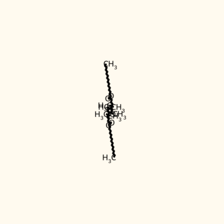 CCCCCCCCCCCCCCCCOC(=O)CCCC(C)(C)c1cc(OC)c(C(C)(C)CCCC(=O)OCCCCCCCCCCCCCCCC)cc1O